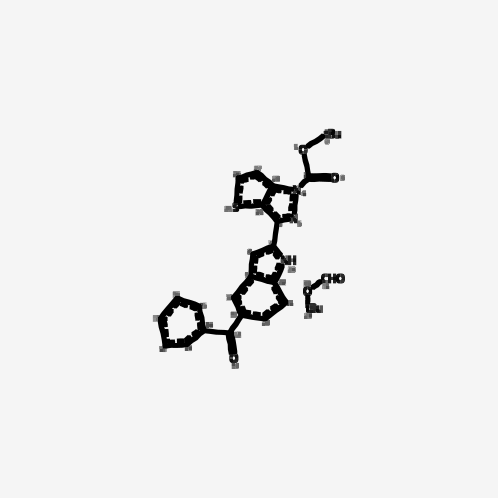 CC(C)(C)OC(=O)n1nc(-c2cc3cc(C(=O)c4ccccc4)ccc3[nH]2)c2sccc21.CC(C)(C)OC=O